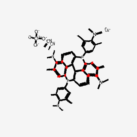 CC#N.CC#N.Cc1cc(P(c2cc(C)c(N(C)C)c(C)c2)c2ccc3ccccc3c2-c2c(P(c3cc(C)c(N(C)C)c(C)c3)c3cc(C)c(N(C)C)c(C)c3)ccc3ccccc23)cc(C)c1N(C)C.[Cu+].[O-][Cl+3]([O-])([O-])[O-]